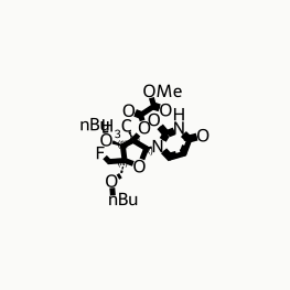 CCCCOC[C@@]1(CF)O[C@@H](n2ccc(=O)[nH]c2=O)[C@](C)(OC(=O)C(=O)OC)[C@@H]1OCCCC